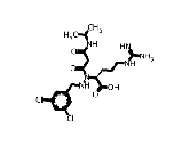 CC(C)NC(=O)CC(=O)N(NCc1cc(Cl)cc(Cl)c1)[C@@H](CCCNC(=N)N)C(=O)O